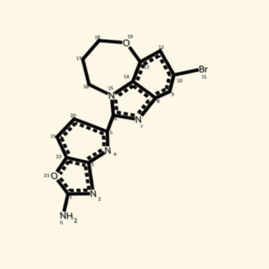 Nc1nc2nc(-c3nc4cc(Br)cc5c4n3CCCO5)ccc2o1